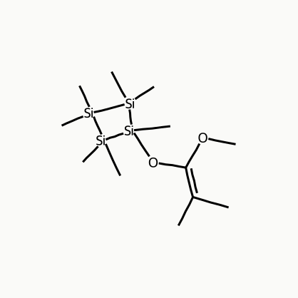 COC(O[Si]1(C)[Si](C)(C)[Si](C)(C)[Si]1(C)C)=C(C)C